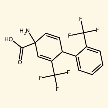 NC1(C(=O)O)C=CC(c2ccccc2C(F)(F)F)C(C(F)(F)F)=C1